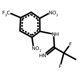 CC(F)(F)C(=N)Nc1c([N+](=O)[O-])cc(C(F)(F)F)cc1[N+](=O)[O-]